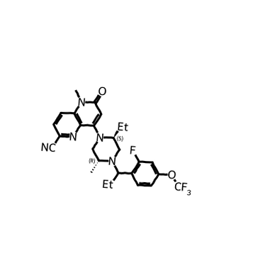 CCC(c1ccc(OC(F)(F)F)cc1F)N1C[C@H](CC)N(c2cc(=O)n(C)c3ccc(C#N)nc23)C[C@H]1C